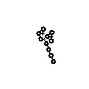 CC1(C)c2ccccc2-c2cccc(-c3cccc(N(c4ccc(-c5ccc(-c6ccc(-c7ccccc7)cc6)cc5)cc4)c4ccc5c(c4)C(C)(c4ccccc4)c4ccccc4-5)c3)c21